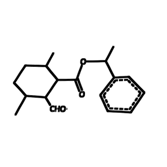 CC(OC(=O)C1C(C)CCC(C)C1[C]=O)c1ccccc1